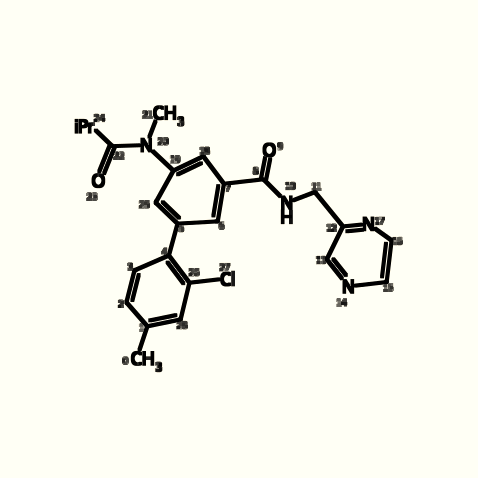 Cc1ccc(-c2cc(C(=O)NCc3cnccn3)cc(N(C)C(=O)C(C)C)c2)c(Cl)c1